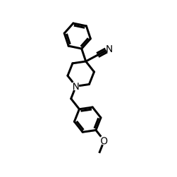 COc1ccc(CN2CCC(C#N)(c3ccccc3)CC2)cc1